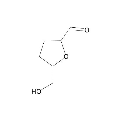 O=CC1CCC(CO)O1